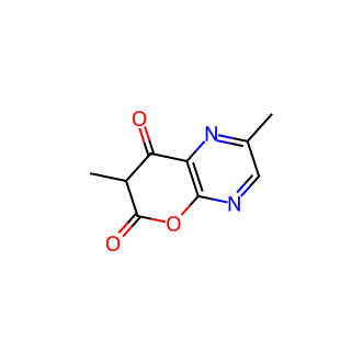 Cc1cnc2c(n1)C(=O)C(C)C(=O)O2